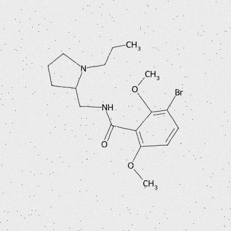 CCCN1CCCC1CNC(=O)c1c(OC)ccc(Br)c1OC